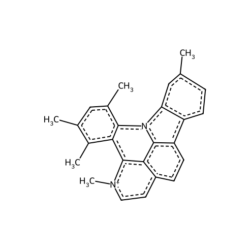 Cc1ccc2c3ccc4cc[n+](C)c5c6c(C)c(C)cc(C)c6n(c2c1)c3c45